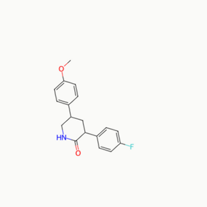 COc1ccc(C2CNC(=O)C(c3ccc(F)cc3)C2)cc1